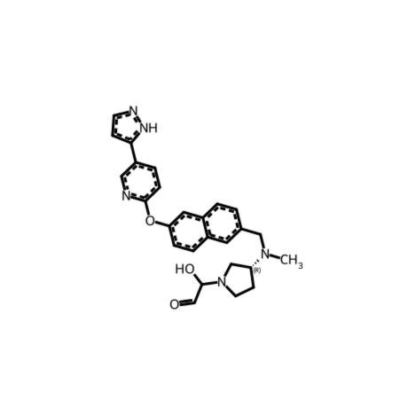 CN(Cc1ccc2cc(Oc3ccc(-c4ccn[nH]4)cn3)ccc2c1)[C@@H]1CCN(C(O)C=O)C1